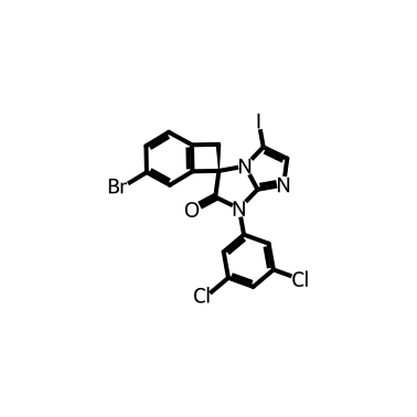 O=C1N(c2cc(Cl)cc(Cl)c2)c2ncc(I)n2[C@]12Cc1ccc(Br)cc12